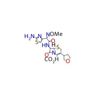 CO/N=C(\C(=O)N[C@@H]1C(=O)N2C(C(=O)O)=C(C3CCOC3)CS[C@H]12)c1csc(N)n1